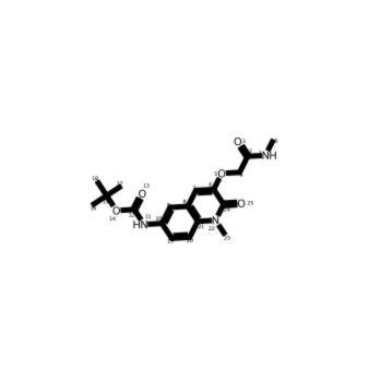 CNC(=O)COc1cc2cc(NC(=O)OC(C)(C)C)ccc2n(C)c1=O